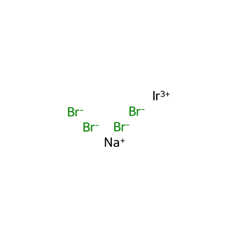 [Br-].[Br-].[Br-].[Br-].[Ir+3].[Na+]